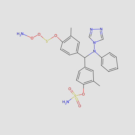 Cc1cc(C(c2ccc(OS(N)(=O)=O)c(C)c2)N(c2ccccc2)n2cnnc2)ccc1OSOON